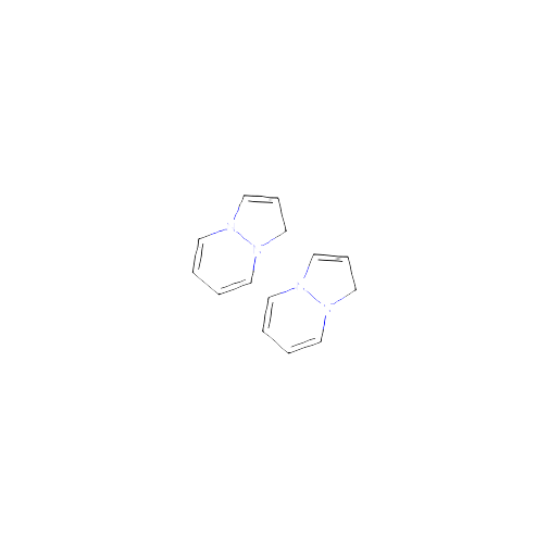 C1=CN2C=CCN2C=C1.C1=CN2C=CCN2C=C1